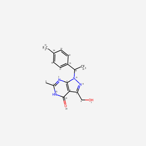 Cc1nc2c(c(CO)nn2C(c2ccc(C(F)(F)F)cc2)C(F)(F)F)c(=O)[nH]1